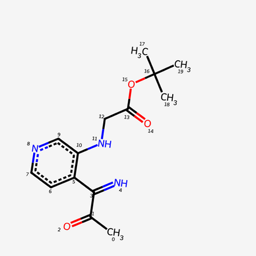 CC(=O)C(=N)c1ccncc1NCC(=O)OC(C)(C)C